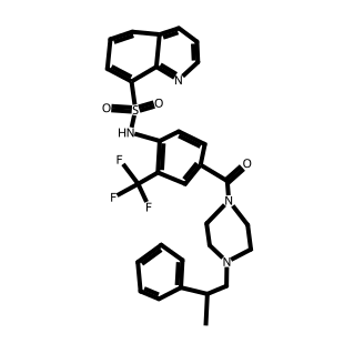 CC(CN1CCN(C(=O)c2ccc(NS(=O)(=O)c3cccc4cccnc34)c(C(F)(F)F)c2)CC1)c1ccccc1